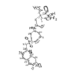 CCC(CC)(CC(=O)Nc1cccc(S(=O)(=O)Cc2ccc3ccc(Cl)cc3n2)c1)C(=O)O